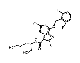 Cc1nc2c(OCc3c(F)cccc3F)cc(Cl)cn2c1C(=O)N[C@@H](CO)CCCO